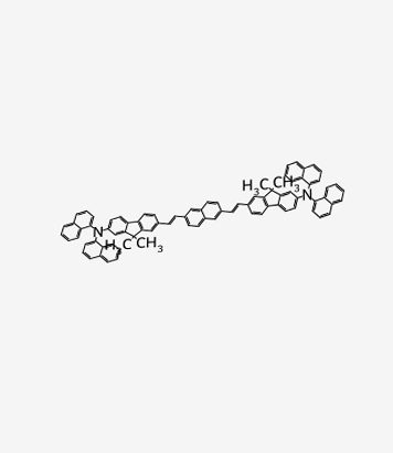 CC1(C)c2cc(/C=C/c3ccc4cc(/C=C/c5ccc6c(c5)C(C)(C)c5cc(N(c7cccc8ccccc78)c7cccc8ccccc78)ccc5-6)ccc4c3)ccc2-c2ccc(N(c3cccc4ccccc34)c3cccc4ccccc34)cc21